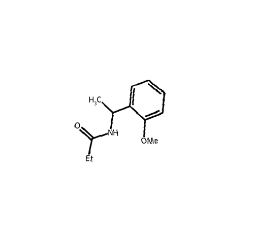 CCC(=O)NC(C)c1ccccc1OC